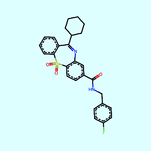 O=C(NCc1ccc(F)cc1)c1ccc2c(c1)N=C(C1CCCCC1)c1ccccc1S2(=O)=O